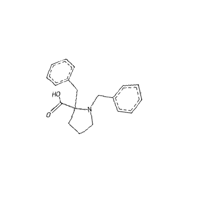 O=C(O)C1(Cc2ccccc2)CCCN1Cc1ccccc1